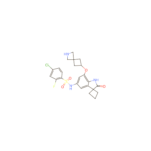 O=C1Nc2c(OC3CC4(CNC4)C3)cc(NS(=O)(=O)c3ccc(Cl)cc3F)cc2C12CCC2